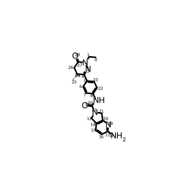 CCN1N=C(c2ccc(NC(=O)N3Cc4ccc(N)nc4C3)cc2)[C@H](C)CC1=O